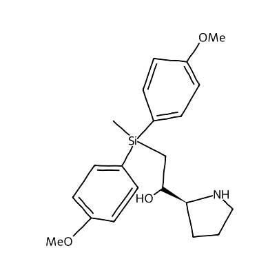 COc1ccc([Si](C)(CC(O)[C@@H]2CCCN2)c2ccc(OC)cc2)cc1